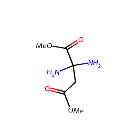 COC(=O)CC(N)(N)C(=O)OC